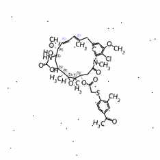 COc1cc2cc(c1Cl)N(C)C(=O)C[C@H](OC(=O)CSc1ccc(C(C)=O)cc1C)[C@]1(C)O[C@H]1[C@H](C)[C@@H]1C[C@@](O)(NC(=O)O1)[C@H](OC)/C=C/C=C(\C)C2